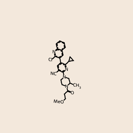 COCCC(=O)N1CCN(c2nc(C3CC3)c(-c3cc4ccccc4nc3Cl)cc2C#N)CC1C